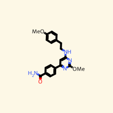 COc1ccc(CCNc2cc(-c3ccc(C(N)=O)cc3)nc(OC)n2)cc1